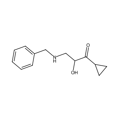 O=C(C(O)CNCc1ccccc1)C1CC1